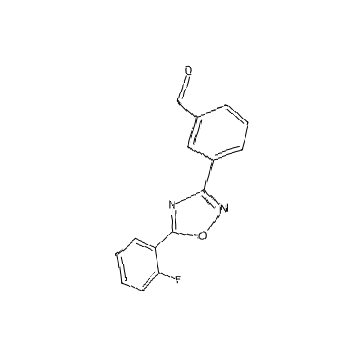 O=Cc1cccc(-c2noc(-c3ccccc3F)n2)c1